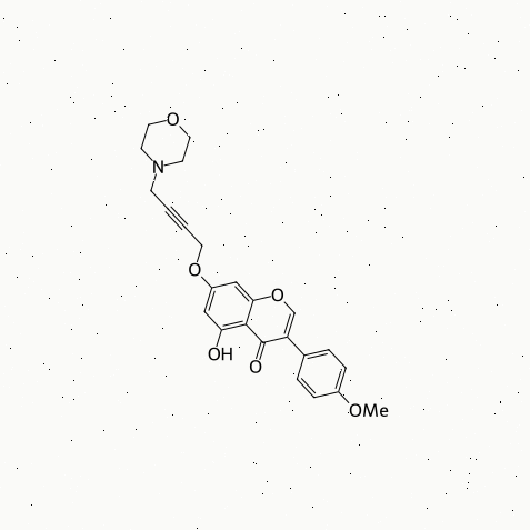 COc1ccc(-c2coc3cc(OCC#CCN4CCOCC4)cc(O)c3c2=O)cc1